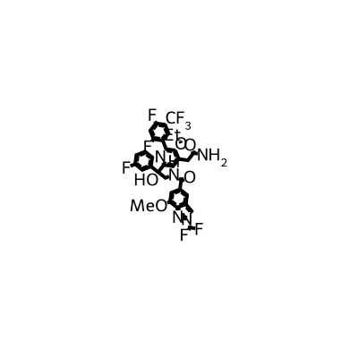 CCOc1c(CC(N)=O)cc([C@@](O)(CNC(=O)c2cc(OC)c3nn(C(F)F)cc3c2)c2cccc(F)c2)nc1-c1cc(C(F)(F)F)c(F)cc1F